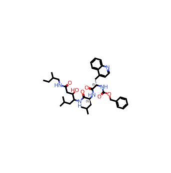 CCC(C)CNC(=O)CC(O)C(CC(C)C)NC(=O)[C@H](CC(C)C)NC(=O)[C@H](Cc1ccnc2ccccc12)NC(=O)OCc1ccccc1